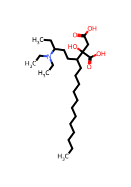 CCCCCCCCCCCCC(CCC(CC)N(CC)CC)C(O)(CC(=O)O)C(=O)O